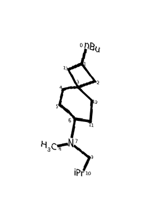 CCCCC1CC2(CCC(N(C)CC(C)C)CC2)C1